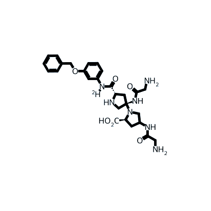 [2H]N(C(=O)[C@@H]1C[C@](NC(=O)CN)(N2CC(NC(=O)CN)C[C@H]2C(=O)O)CN1)c1cccc(OCc2ccccc2)c1